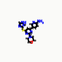 Nc1ccc(-c2cc(Sc3nc[nH]n3)nc(N3CCOCC3)n2)cn1